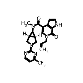 C=CCn1cc(C(=O)N(C)C2[C@H]3CN(c4nccc(C(F)(F)F)n4)C[C@@H]23)c2cc[nH]c2c1=O